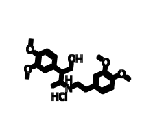 COc1ccc(CCNC(C)C(CO)c2ccc(OC)c(OC)c2)cc1OC.Cl